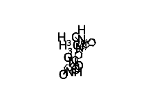 CCN[C@H]1c2ccccc2C[C@@H]1N(C)c1ccc2c(c1)C(=O)N(C1CCC(=O)NC1=O)C2=O